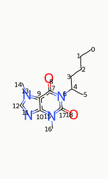 CCCCC(C)n1c(=O)c2c(ncn2C)n(C)c1=O